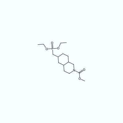 CCOP(=O)(CC1CCC2CN(C(=O)OC)CCC2C1)OCC